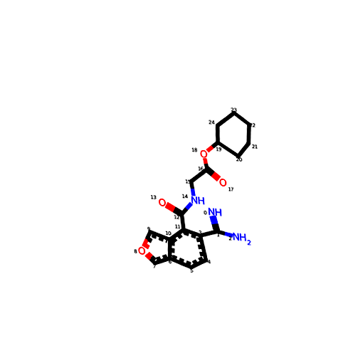 N=C(N)c1ccc2cocc2c1C(=O)NCC(=O)OC1CCCCC1